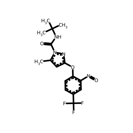 Cc1cc(Oc2ccc(C(F)(F)F)cc2N=O)nn1C(=O)NC(C)(C)C